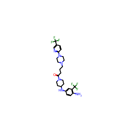 Nc1ccc(NC2CCN(C(=O)CCCN3CCN(c4ccc(C(F)(F)F)cn4)CC3)CC2)cc1C(F)(F)F